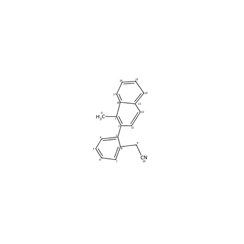 Cc1c(-c2ccccc2CC#N)ccc2ccccc12